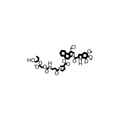 CCC(CO)OC(COC(=O)NCCC(=O)N1CCC(C(=O)Oc2cc3c(c4ccccc24)[C@H](CCl)CN3C(=O)c2cc3cc(OC)c(OC)c(OC)c3[nH]2)C1)OC